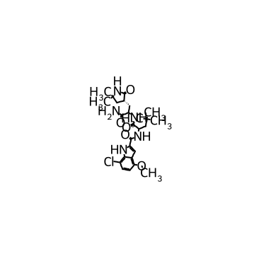 COc1ccc(Cl)c2[nH]c(C(=O)NC(CC(C)(C)C)C(=O)NC(C[C@@H]3CC(C)(C)NC3=O)C(N)=O)cc12